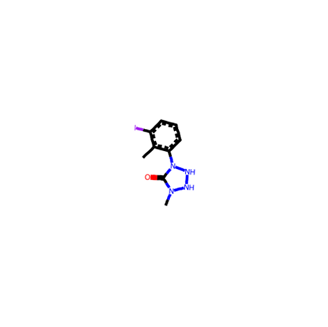 Cc1c(I)cccc1N1NNN(C)C1=O